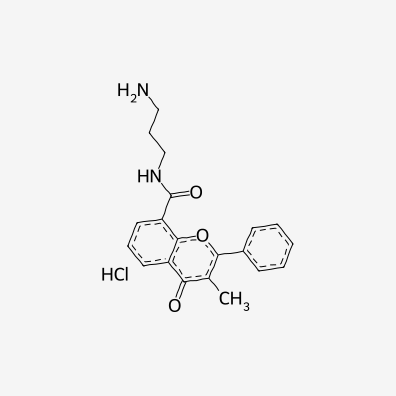 Cc1c(-c2ccccc2)oc2c(C(=O)NCCCN)cccc2c1=O.Cl